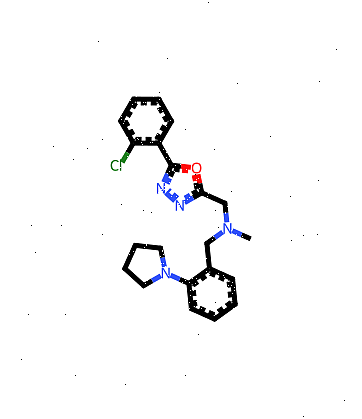 CN(Cc1nnc(-c2ccccc2Cl)o1)Cc1ccccc1N1CCCC1